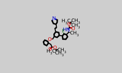 C[C@H](NC(=O)OC(C)(C)C)c1cccc(-c2cc(C=Cc3ccncc3)cc(COc3ccccc3CC(=O)OC(C)(C)C)c2)c1F